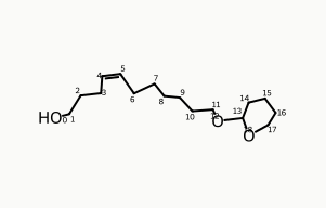 OCCC/C=C\CCCCCCOC1CCCCO1